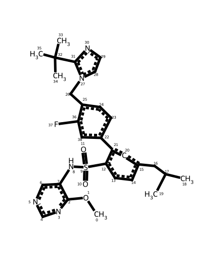 COc1ncncc1NS(=O)(=O)c1ccc(CC(C)C)cc1-c1ccc(Cn2ccnc2C(C)(C)C)c(F)c1